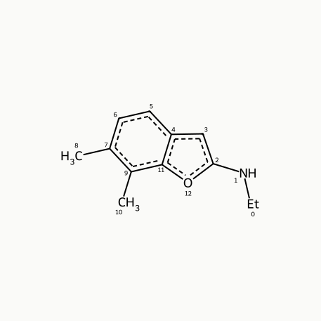 CCNc1cc2ccc(C)c(C)c2o1